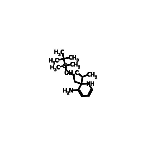 CC(C)C1(CCO[Si](C)(C)C(C)(C)C)NC=CC=C1N